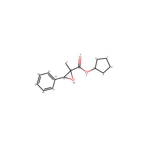 CC1(C(=O)OC2CCCC2)OC1c1ccccc1